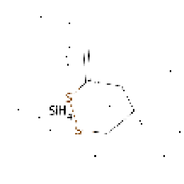 C=C1CCCSS1.[SiH4]